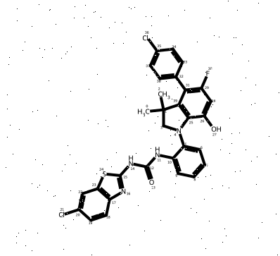 CC1(C)CN(c2ccccc2NC(=O)Nc2nc3ccc(Cl)cc3s2)c2c(O)cc(F)c(-c3ccc(Cl)cc3)c21